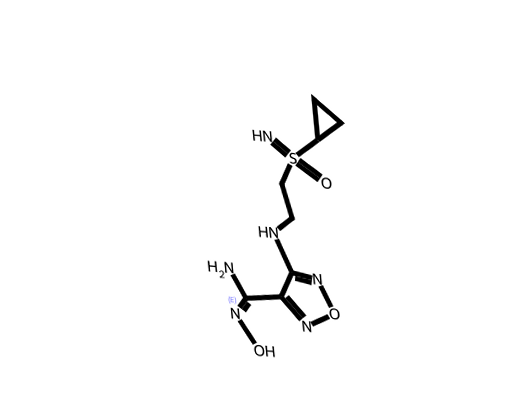 N=S(=O)(CCNc1nonc1/C(N)=N\O)C1CC1